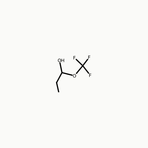 CCC(O)OC(F)(F)F